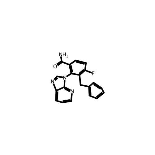 NC(=O)c1ccc(F)c(Cc2ccccc2)c1-n1cnc2cccnc21